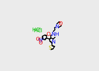 Cc1nc(-c2cccs2)cc(-c2cccc([N+](=O)[O-])c2)c1C(=O)NCCCN1CCOCC1.Cl.Cl